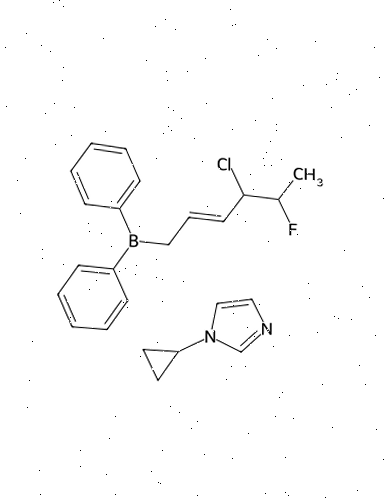 CC(F)C(Cl)C=CCB(c1ccccc1)c1ccccc1.c1cn(C2CC2)cn1